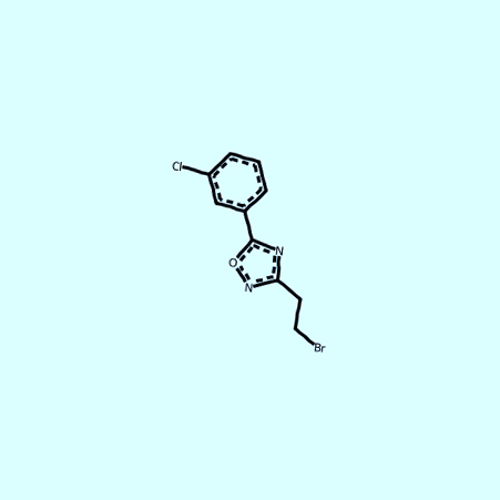 Clc1cccc(-c2nc(CCBr)no2)c1